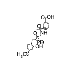 COc1ccc(CC([C@@H]2CN[C@](C)(c3cccc(C(=O)O)c3)CO2)[PH](=O)O)cc1